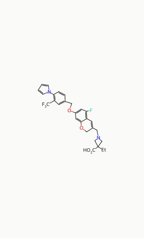 CCC1(C(=O)O)CN(CC2=Cc3c(F)cc(OCc4ccc(-n5cccc5)c(C(F)(F)F)c4)cc3OC2)C1